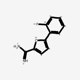 N=C(N)c1ccc(-c2ccccc2F)o1